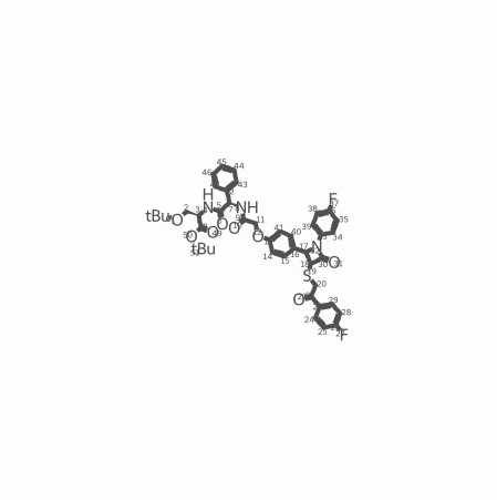 CC(C)(C)OC[C@@H](NC(=O)[C@H](NC(=O)COc1ccc(C2C(SCC(=O)c3ccc(F)cc3)C(=O)N2c2ccc(F)cc2)cc1)c1ccccc1)C(=O)OC(C)(C)C